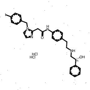 Cl.Cl.O=C(Cc1nccn1Cc1ccc(I)cc1)Nc1ccc(CCNC[C@H](O)c2ccccc2)cc1